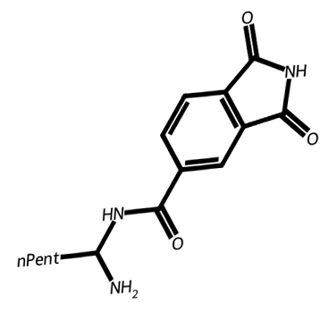 CCCCCC(N)NC(=O)c1ccc2c(c1)C(=O)NC2=O